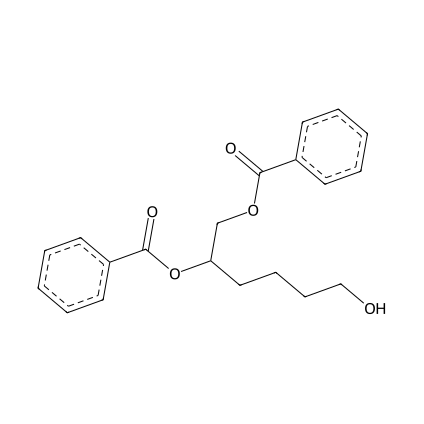 O=C(OCC(CCCCO)OC(=O)c1ccccc1)c1ccccc1